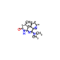 CC1CC(=O)Nc2nc(N(C)C)c3ncccc3c21